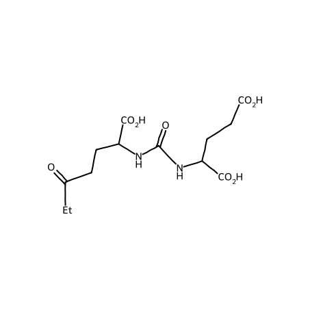 CCC(=O)CCC(NC(=O)NC(CCC(=O)O)C(=O)O)C(=O)O